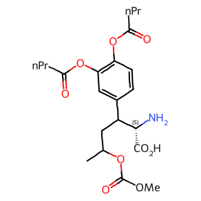 CCCC(=O)Oc1ccc(C(CC(C)OC(=O)OC)[C@H](N)C(=O)O)cc1OC(=O)CCC